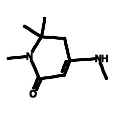 CNC1=CC(=O)N(C)C(C)(C)C1